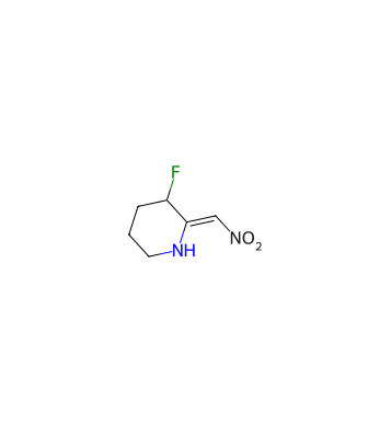 O=[N+]([O-])/C=C1\NCCCC1F